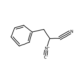 [C-]#[N+]C(C#N)Cc1ccccc1